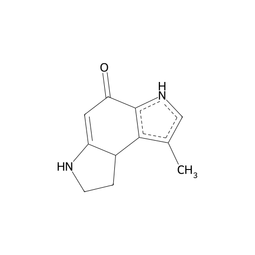 Cc1c[nH]c2c1C1CCNC1=CC2=O